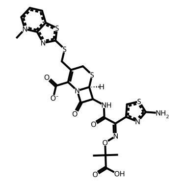 C[n+]1cccc2sc(SCC3=C(C(=O)[O-])N4C(=O)C(NC(=O)/C(=N\OC(C)(C)C(=O)O)c5csc(N)n5)[C@@H]4SC3)nc21